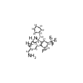 C=C(/C=C\C(Cl)=C/N)C(N)(Cc1ccccc1)c1cc(F)cc(C(F)(F)F)c1